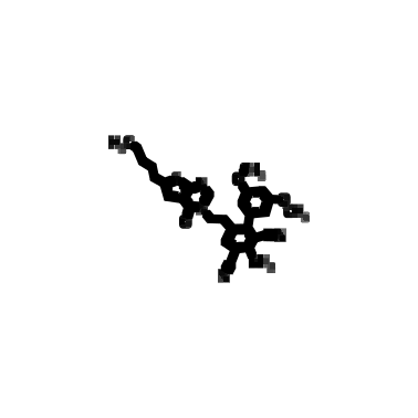 CCCCCc1cc2c(=O)n(CCc3cc(C#N)c(N)c(C#N)c3-c3cc(OC)cc(OC)c3)cnc2s1